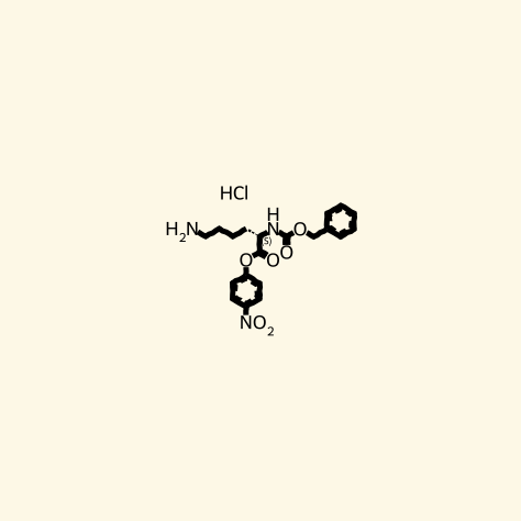 Cl.NCCCC[C@H](NC(=O)OCc1ccccc1)C(=O)Oc1ccc([N+](=O)[O-])cc1